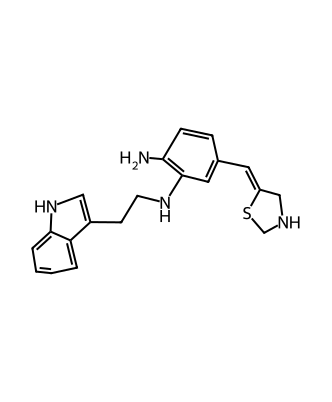 Nc1ccc(C=C2CNCS2)cc1NCCc1c[nH]c2ccccc12